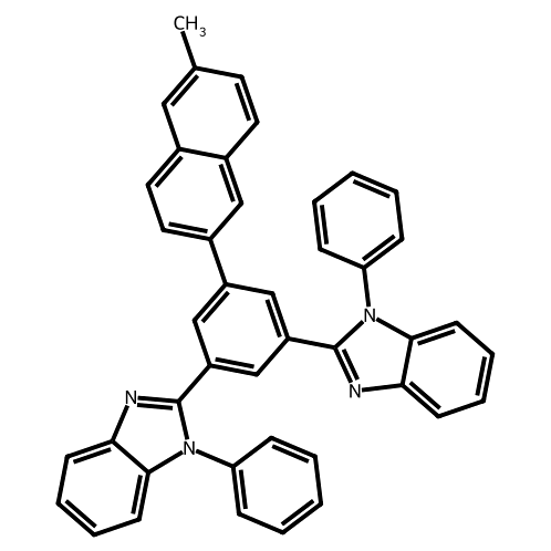 Cc1ccc2cc(-c3cc(-c4nc5ccccc5n4-c4ccccc4)cc(-c4nc5ccccc5n4-c4ccccc4)c3)ccc2c1